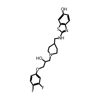 Oc1ccc2nc(NCC3CCN(CC(O)COc4ccc(F)c(F)c4)CC3)sc2c1